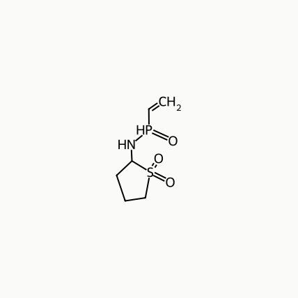 C=C[PH](=O)NC1CCCS1(=O)=O